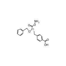 NOC(=O)[C@H](CCc1ccc(C(=O)O)cc1)OCc1ccccc1